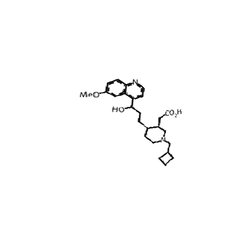 COc1ccc2nccc(C(O)CC[C@@H]3CCN(CC4CCC4)C[C@@H]3CC(=O)O)c2c1